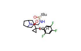 CC(C)(C)[S@+]([O-])N[C@H](Cc1cc(F)c(F)cc1F)C1CC2CCC(C1)N2C(=O)C1(C(=O)O)CC1